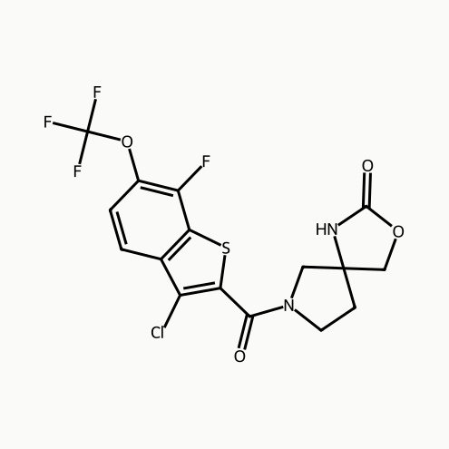 O=C1NC2(CCN(C(=O)c3sc4c(F)c(OC(F)(F)F)ccc4c3Cl)C2)CO1